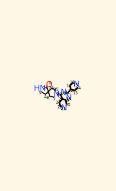 O=C1NCCC12CCN(c1nc(-c3ccncc3)nc3cnccc13)CC2